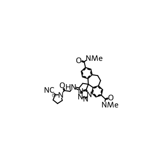 CNC(=O)c1ccc2c(c1)CCc1cc(C(=O)NC)ccc1C2(CCNCC(=O)N1CCC[C@H]1C#N)c1nnnn1C